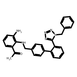 CC(=O)c1cccc(N)c1NCc1ccc(-c2ccccc2-c2nnnn2Cc2ccccc2)cc1